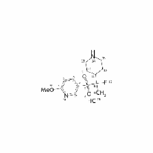 COc1ccc(S(=O)(=O)C(C)(F)C2CCNCC2)cn1.Cl